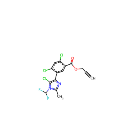 C#CCOC(=O)c1cc(-c2nc(C)n(C(F)F)c2Cl)c(Cl)cc1Cl